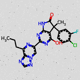 CCCc1nc(-c2nc(O)c3c(n2)NC(=O)C3(C)c2ccc(Cl)c(F)c2)cn2ncnc12